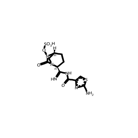 N=C(NC(=O)c1csc(N)n1)[C@@H]1CC[C@@H]2CN1C(=O)N2OS(=O)(=O)O